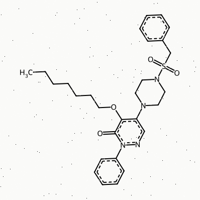 CCCCCCCOc1c(N2CCN(S(=O)(=O)Cc3ccccc3)CC2)cnn(-c2ccccc2)c1=O